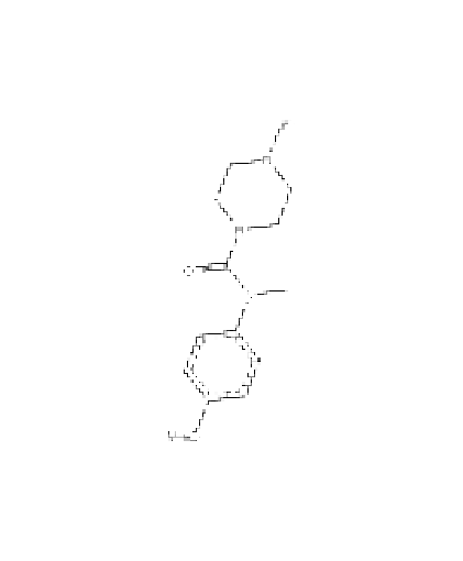 COc1ccc(N(C)C(=O)N2CCN(C(C)C)CC2)cc1